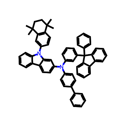 CC1(C)CCC(C)(C)c2cc(-n3c4ccccc4c4ccc(N(c5ccc(-c6ccccc6)cc5)c5cccc(C6(c7ccccc7)c7ccccc7-c7ccccc76)c5)cc43)ccc21